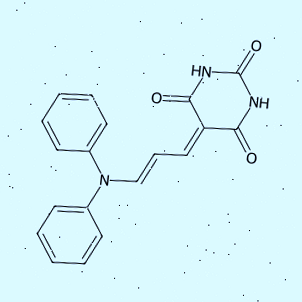 O=C1NC(=O)C(=C/C=C/N(c2ccccc2)c2ccccc2)C(=O)N1